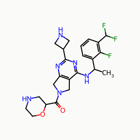 CC(Nc1nc(C2CNC2)nc2c1CN(C(=O)C1CNCCO1)C2)c1cccc(C(F)F)c1F